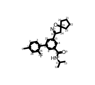 Cc1ccc(-c2cc(C(=O)NC(C)C)cc(C3=NOC4(CCCC4)C3)c2)c(F)c1